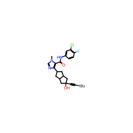 Cn1cnc(C2CC3CC(O)(C#CC(C)(C)C)CC3C2)c1C(=O)Nc1ccc(F)c(Cl)c1